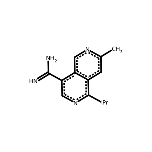 Cc1cc2c(C(C)C)ncc(C(=N)N)c2cn1